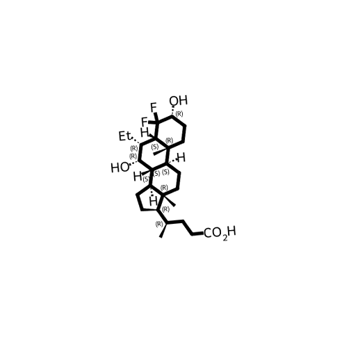 CC[C@H]1[C@@H](O)[C@@H]2[C@H](CC[C@]3(C)[C@@H]([C@H](C)CCC(=O)O)CC[C@@H]23)[C@@]2(C)CC[C@@H](O)C(F)(F)[C@@H]12